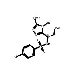 CCn1c(OC)nnc1[C@@H](COC)NS(=O)(=O)c1ccc(Cl)cc1